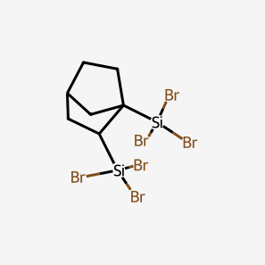 Br[Si](Br)(Br)C1CC2CCC1([Si](Br)(Br)Br)C2